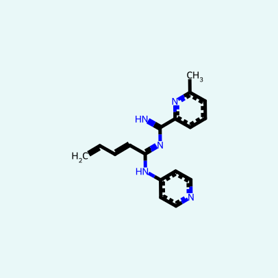 C=C/C=C/C(=N\C(=N)c1cccc(C)n1)Nc1ccncc1